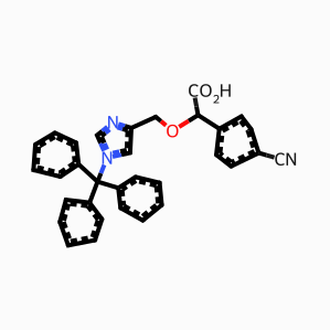 N#Cc1ccc(C(OCc2cn(C(c3ccccc3)(c3ccccc3)c3ccccc3)cn2)C(=O)O)cc1